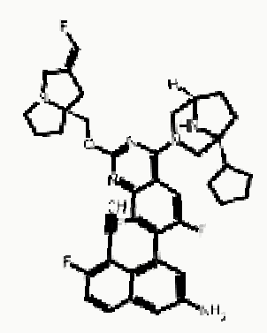 C#Cc1c(F)ccc2cc(N)cc(-c3c(F)cc4c(N5C[C@@H]6CC[C@](C7CCCC7)(C5)N6)nc(OC[C@@]56CCCN5C/C(=C\F)C6)nc4c3F)c12